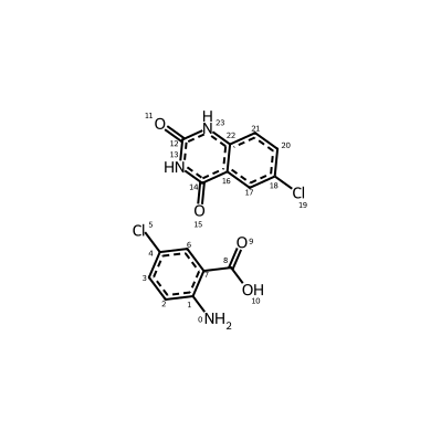 Nc1ccc(Cl)cc1C(=O)O.O=c1[nH]c(=O)c2cc(Cl)ccc2[nH]1